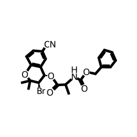 CC(NC(=O)OCc1ccccc1)C(=O)O[C@H]1c2cc(C#N)ccc2OC(C)(C)[C@@H]1Br